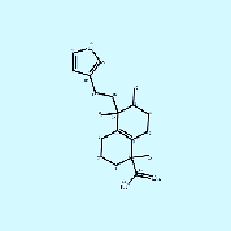 CC1CCC2=C(CCCC2(C)C(=O)O)C1(C)CCc1ccoc1